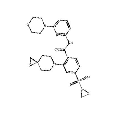 N=S(=O)(c1ccc(C(=O)Nc2cccc(N3CCOCC3)n2)c(N2CCC3(CC2)CC3)c1)C1CC1